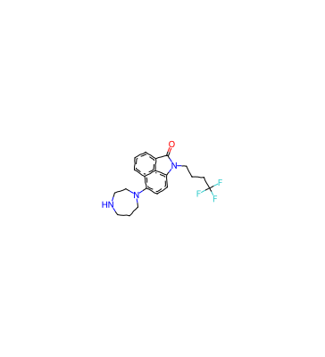 O=C1c2cccc3c(N4CCCNCC4)ccc(c23)N1CCCC(F)(F)F